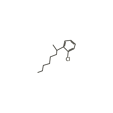 CCCCCCC(C)c1ccccc1Cl